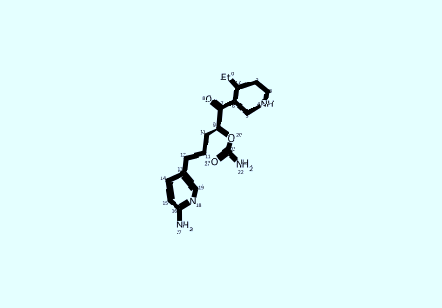 CCC1CCNCC1C(=O)[C@H](CCCc1ccc(N)nc1)OC(N)=O